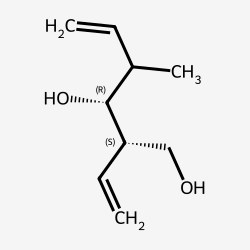 C=CC(C)[C@@H](O)[C@@H](C=C)CO